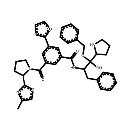 Cc1csc([C@H]2CCCN2C(=O)c2cc(C(=O)NC(Cc3ccccc3)C(O)(OCc3ccccc3)C3CCCN3)cc(-c3ncco3)c2)n1